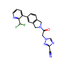 N#Cc1ncn(CC(=O)N2Cc3ccc(-c4cccnc4C(F)F)cc3C2)n1